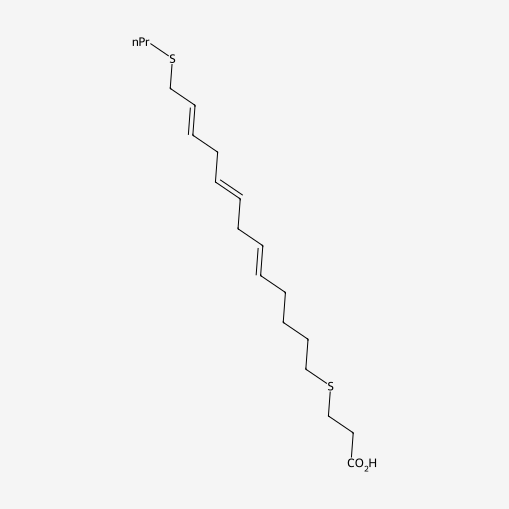 CCCSCC=CCC=CCC=CCCCCSCCC(=O)O